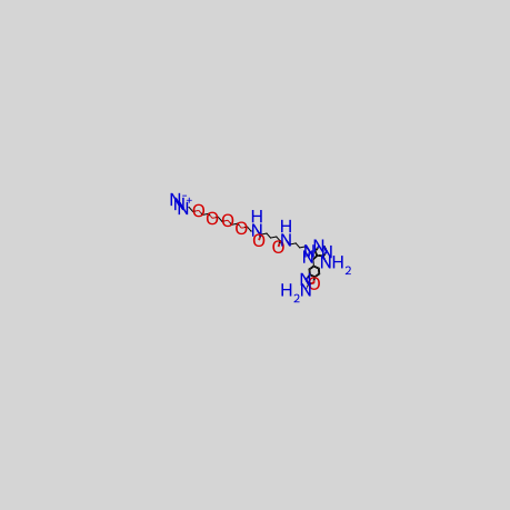 [N-]=[N+]=NCCOCCOCCOCCOCCNC(=O)CCCC(=O)NCCCCn1nc(-c2ccc3oc(N)nc3c2)c2c(N)ncnc21